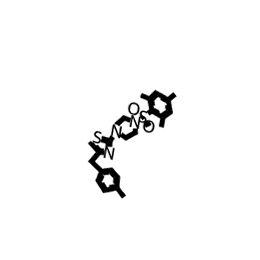 Cc1ccc(Cc2csc(N3CCN(S(=O)(=O)c4c(C)cc(C)cc4C)CC3)n2)cc1